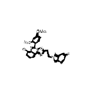 COc1ccc(-c2nc3c(Cl)cccc3c3nc(CCn4cc5ccc(F)cc5c4)nn23)c(OC)c1